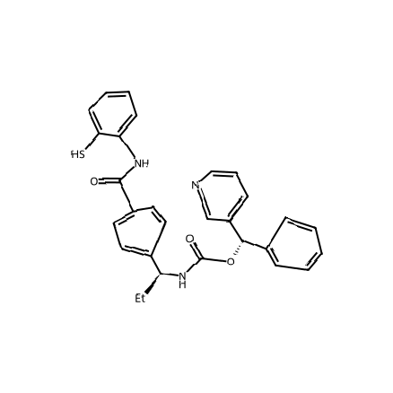 CC[C@H](NC(=O)O[C@@H](c1ccccc1)c1cccnc1)c1ccc(C(=O)Nc2ccccc2S)cc1